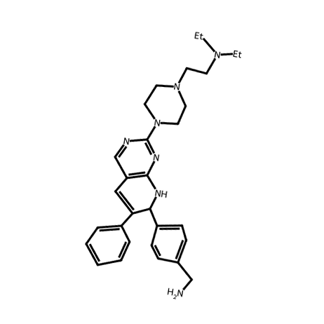 CCN(CC)CCN1CCN(c2ncc3c(n2)NC(c2ccc(CN)cc2)C(c2ccccc2)=C3)CC1